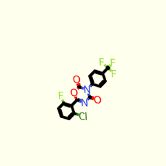 O=c1nc(-c2c(F)cccc2Cl)oc(=O)n1-c1ccc(C(F)(F)F)cc1